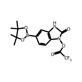 CC1(C)OB(c2ccc3c(c2)[nH]c(=O)n3OC(=O)C(F)(F)F)OC1(C)C